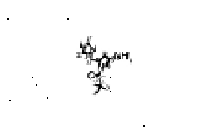 CC(C)(C)OC(=O)N1CC(N)C[C@@H]1Cn1cncn1